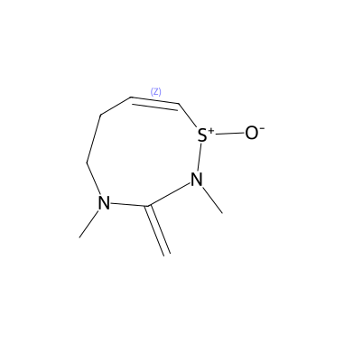 C=C1N(C)CC/C=C\[S+]([O-])N1C